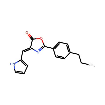 CCCc1ccc(C2=N/C(=C\c3ccc[nH]3)C(=O)O2)cc1